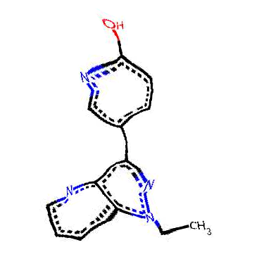 CCn1nc(-c2ccc(O)nc2)c2ncccc21